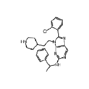 CC(Nc1ncc2nc(-c3ccccc3Cl)n(CCC3CCNCC3)c2n1)c1ccccc1